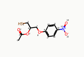 CC(=O)OC(CS)COc1ccc([N+](=O)[O-])cc1